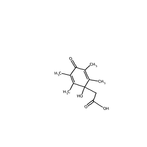 CC1=C(C)C(O)(CC(=O)O)C(C)=C(C)C1=O